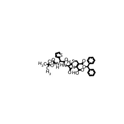 CC(C)(C)OC(=O)NC(C(=O)NC1C(=O)N2C(C(=O)O)=C(C(=O)OC(c3ccccc3)c3ccccc3)CS[C@H]12)c1cccs1